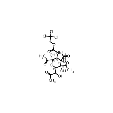 CC(=O)C(O)[C@H]1O[C@@](O)(C(C)=O)[C@@H](NC(=O)OCC(Cl)(Cl)Cl)[C@](O)(C(C)=O)[C@]1(O)C(C)=O